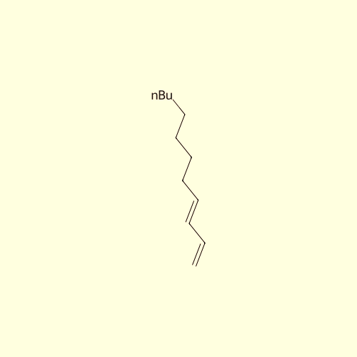 [CH2]CCCCCCC/C=C/C=C